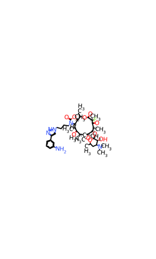 CCC1OC(=O)[C@@](C)(F)C(=O)[C@H](C)[C@@H](OC2OC(C)CC(N(C)C)C2O)[C@@](C)(OC)C[C@@H](C)C(=O)[C@H](C)[C@H]2N(CCCCn3cc(-c4cccc(N)c4)nn3)C(=O)O[C@]12C